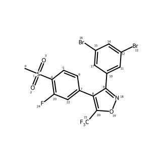 CS(=O)(=O)c1ccc(-c2c(-c3cc(Br)cc(Br)c3)noc2C(F)(F)F)cc1F